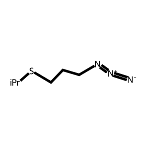 CC(C)SCCCN=[N+]=[N-]